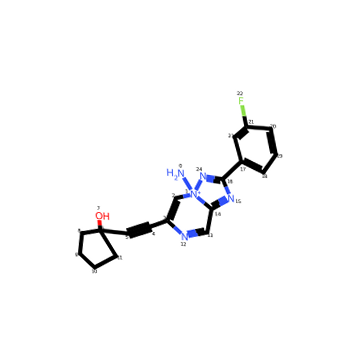 N[N+]12C=C(C#CC3(O)CCCC3)N=CC1=NC(c1cccc(F)c1)=N2